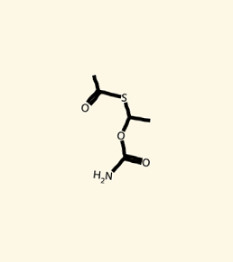 CC(=O)SC(C)OC(N)=O